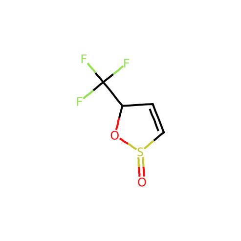 O=S1C=CC(C(F)(F)F)O1